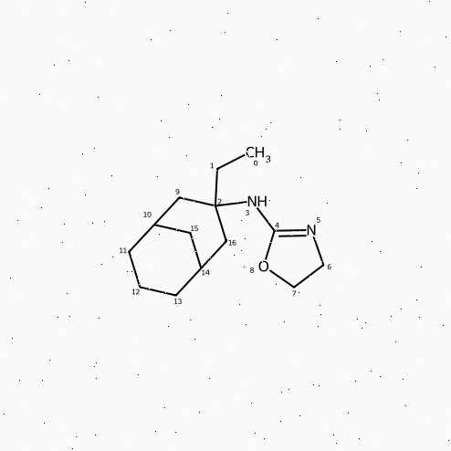 CCC1(NC2=NCCO2)CC2CCCC(C2)C1